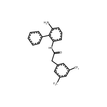 Nc1cccc(NC(=O)Cc2cc(C(F)(F)F)cc(C(F)(F)F)c2)c1-c1ccccc1